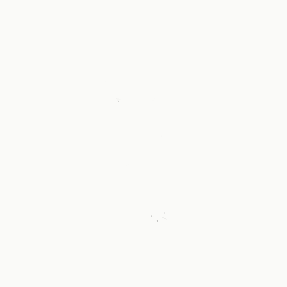 O=C1CC(c2cccc([N+](=O)[O-])c2)Oc2ccc(O)cc21